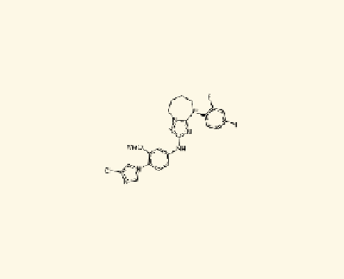 COc1cc(Nc2nc3n(n2)CCCC[C@H]3c2ccc(F)cc2F)ccc1-n1cnc(Cl)c1